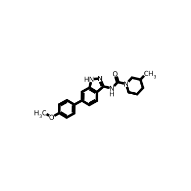 COc1ccc(-c2ccc3c(NC(=O)N4CCCC(C)C4)n[nH]c3c2)cc1